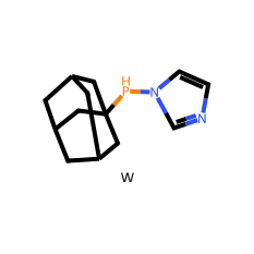 [W].c1cn(PC23CC4CC(CC(C4)C2)C3)cn1